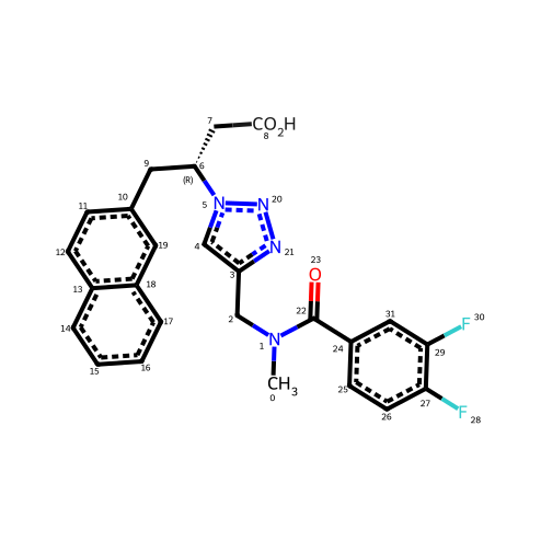 CN(Cc1cn([C@@H](CC(=O)O)Cc2ccc3ccccc3c2)nn1)C(=O)c1ccc(F)c(F)c1